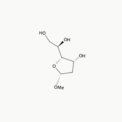 CO[C@H]1C[C@@H](O)[C@@H]([C@H](O)CO)O1